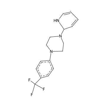 FC(F)(F)c1ccc(N2CCN(C3C=C[C]=CN3)CC2)cc1